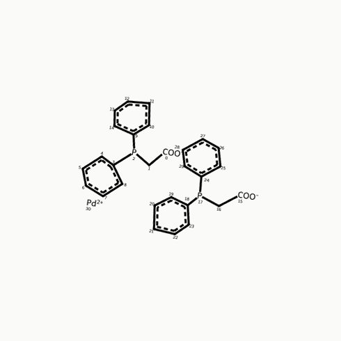 O=C([O-])CP(c1ccccc1)c1ccccc1.O=C([O-])CP(c1ccccc1)c1ccccc1.[Pd+2]